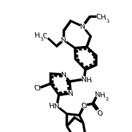 CCN1CCN(CC)c2cc(Nc3ncc(Cl)c(NC4C5CCC(C5)C4OC(N)=O)n3)ccc2C1